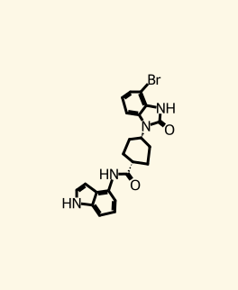 O=c1[nH]c2c(Br)cccc2n1[C@H]1CC[C@@H](C(=O)Nc2cccc3[nH]ccc23)CC1